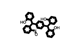 O=Nc1ccccc1C(c1ccc(C(c2ccccc2O)c2ccccc2O)cc1)c1ccccc1O